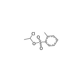 Cc1ccccc1S(=O)(=O)OC(C)Cl